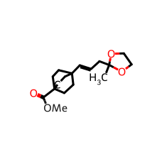 COC(=O)C12CCC(/C=C/CC3(C)OCCO3)(CC1)CC2